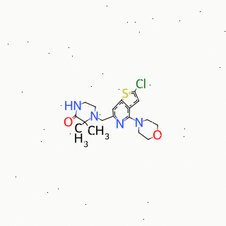 CC1(C)C(=O)NCCN1Cc1cc2sc(Cl)cc2c(N2CCOCC2)n1